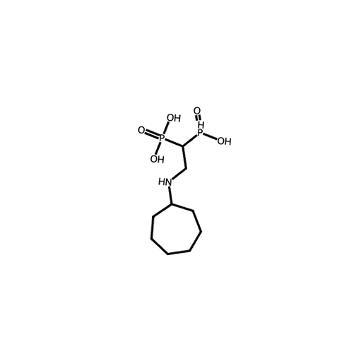 O=[PH](O)C(CNC1CCCCCC1)P(=O)(O)O